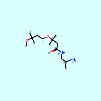 COC(C)(C)CCOC(C)(C)CC(=O)NCC(C)N